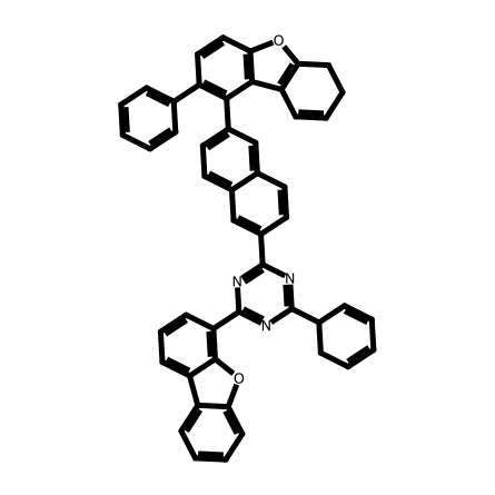 C1=CCC(c2nc(-c3ccc4cc(-c5c(-c6ccccc6)ccc6oc7c(c56)C=CCC7)ccc4c3)nc(-c3cccc4c3oc3ccccc34)n2)C=C1